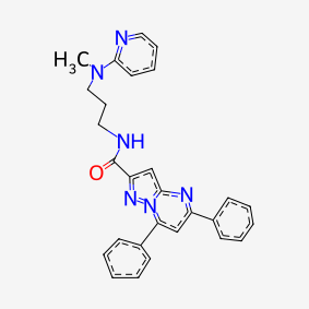 CN(CCCNC(=O)c1cc2nc(-c3ccccc3)cc(-c3ccccc3)n2n1)c1ccccn1